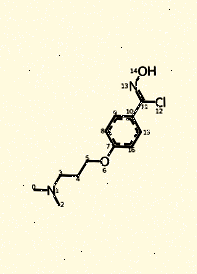 CN(C)CCCOc1ccc(/C(Cl)=N/O)cc1